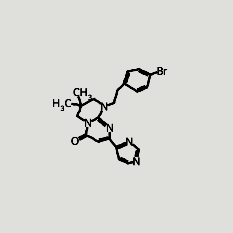 CC1(C)CN(CCc2ccc(Br)cc2)c2nc(-c3ccncn3)cc(=O)n2C1